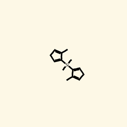 CC1=[C]CC=C1[Si](C)(C)C1=CC[C]=C1C